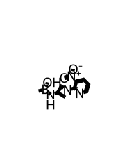 CB(O)NC1CN(c2ncccc2[N+](=O)[O-])C1